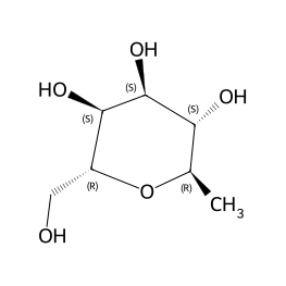 C[C@H]1O[C@H](CO)[C@@H](O)[C@@H](O)[C@@H]1O